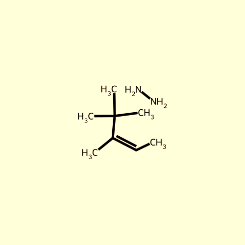 CC=C(C)C(C)(C)C.NN